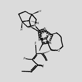 C=C(/C(F)=C(F)\C(F)=C/C)[C@H]1OCCCn2nc(N[C@@H]3[C@@H]4CC[C@H]3CN(c3cc(C)ncn3)C4)nc21